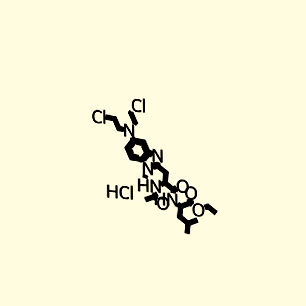 CCOC(=O)C(CC(C)C)NC(=O)C(Cc1nc2cc(N(CCCl)CCCl)ccc2n1C)NC(C)=O.Cl